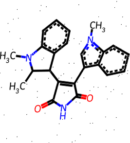 CC1C(C2=C(c3cn(C)c4ccccc34)C(=O)NC2=O)c2ccccc2N1C